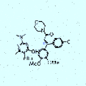 CCCCc1c(C)nc(N(C)C)nc1O.COc1ccc(/C(=C/C(=O)N2CCOCC2)c2ccc(Cl)cc2)cc1OC